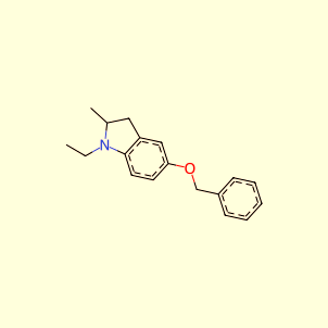 CCN1c2ccc(OCc3ccccc3)cc2CC1C